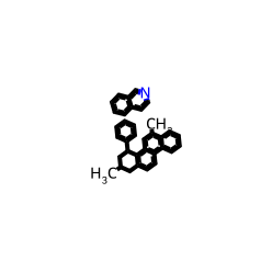 Cc1cc2c3c(ccc2c2ccccc12)CC(C)CC3c1ccccc1.c1ccc2cnccc2c1